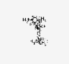 CC(C)c1nn(COCC[Si](C)(C)C)c(=O)n1CC1(C)CCC(N)CC1